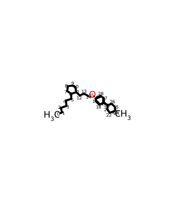 CCCCCCC1CCCCC1CCCOc1ccc(C2CCC(C)CC2)cc1